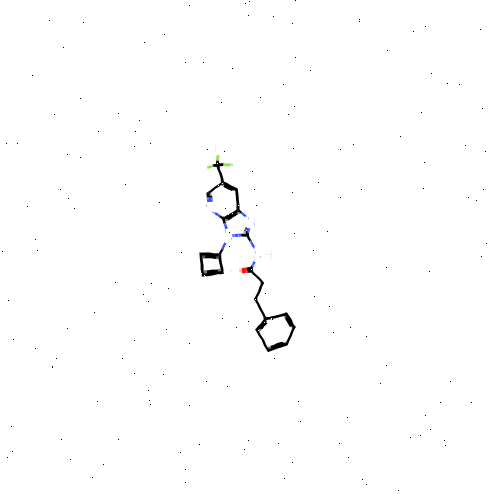 O=C(CCc1ccccc1)Nc1nc2cc(C(F)(F)F)cnc2n1C1=CC=C1